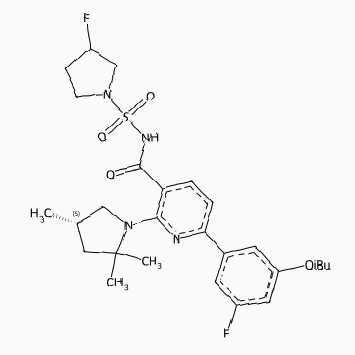 CC(C)COc1cc(F)cc(-c2ccc(C(=O)NS(=O)(=O)N3CCC(F)C3)c(N3C[C@@H](C)CC3(C)C)n2)c1